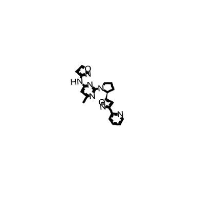 Cc1cc(Nc2ccon2)nc(N2CCC[C@H]2c2cc(-c3ccccn3)no2)n1